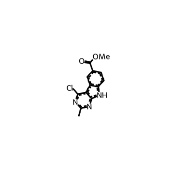 COC(=O)c1ccc2[nH]c3nc(C)nc(Cl)c3c2c1